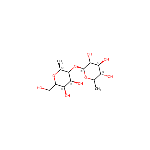 CC1O[C@@H](OC2[C@H](C)OC(CO)[C@H](O)[C@@H]2O)C(O)[C@@H](O)[C@@H]1O